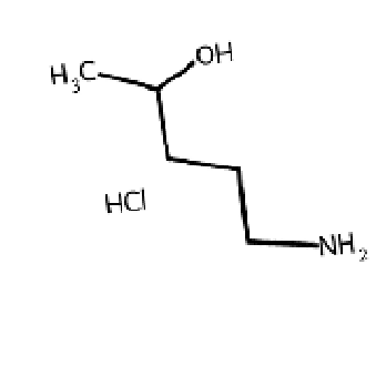 CC(O)CCCN.Cl